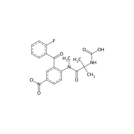 CN(C(=O)C(C)(C)NC(=O)O)c1ccc([N+](=O)[O-])cc1C(=O)c1ccccc1F